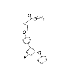 COC(=O)C1CC1COc1ccc(-c2cc(F)cc(Oc3ccccc3)c2)cc1